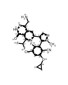 Cn1ncc(-c2cc3c(CN)n[nH]c(=O)c3c(C(F)F)n2)c1-c1c(F)c(Cl)cc(OC2CC2)c1C#N